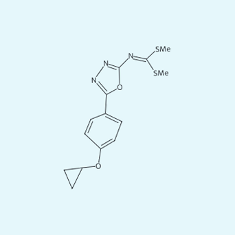 CSC(=Nc1nnc(-c2ccc(OC3CC3)cc2)o1)SC